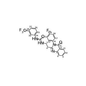 O=C(NCCc1nc2ccccc2c(=O)n1-c1ccc(F)cc1)Nc1cccc(C(F)(F)F)c1